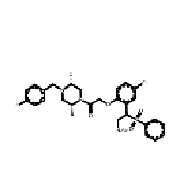 CNCC(c1cc(Cl)ccc1OCC(=O)N1C[C@@H](C)N(Cc2ccc(F)cc2)C[C@@H]1C)S(=O)(=O)c1ccccc1